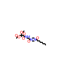 CCCCCCCC(=O)N1CCN(C(=O)CCNC(=O)C(OC(C)=O)C(C)(C)COC(C)=O)CC1